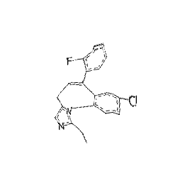 Cc1ncc2n1-c1ccc(Cl)cc1C(c1ccccc1F)=CC2